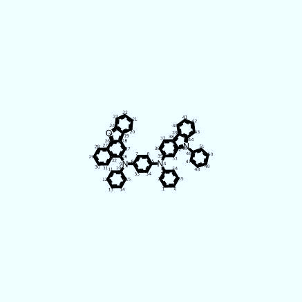 c1ccc(N(c2ccc(N(c3ccccc3)c3cc4c5ccccc5oc4c4ccccc34)cc2)c2ccc3c4ccccc4n(-c4ccccc4)c3c2)cc1